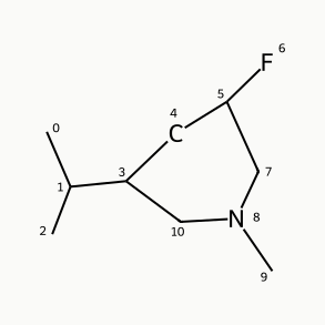 CC(C)C1CC(F)CN(C)C1